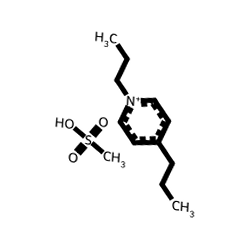 CCCc1cc[n+](CCC)cc1.CS(=O)(=O)O